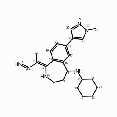 C/C(N=N)=C1/NCCC(NC2CCCCC2)c2cc(-c3cnn(C)c3)ccc21